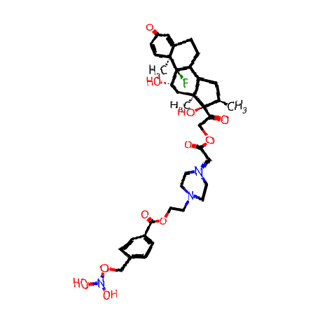 C[C@@H]1CC2C3CCC4=CC(=O)C=C[C@]4(C)[C@@]3(F)[C@@H](O)C[C@]2(C)[C@@]1(O)C(=O)COC(=O)CN1CCN(CCOC(=O)c2ccc(CON(O)O)cc2)CC1